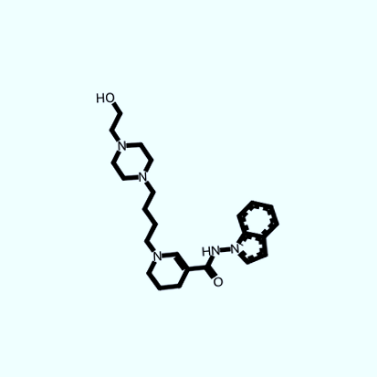 O=C(Nn1ccc2ccccc21)C1=CN(CCCCN2CCN(CCO)CC2)CCC1